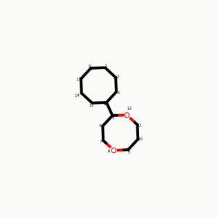 C1CCCC(C2CCOCCCO2)CCC1